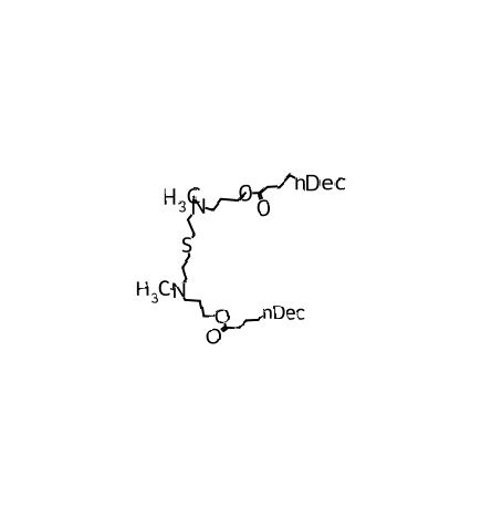 CCCCCCCCCCCCCC(=O)OCCCN(C)CCCSCCN(C)CCCOC(=O)CCCCCCCCCCCCC